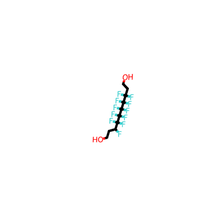 OCCC(F)C(F)(F)C(F)(F)C(F)(F)C(F)(F)C(F)(F)CCO